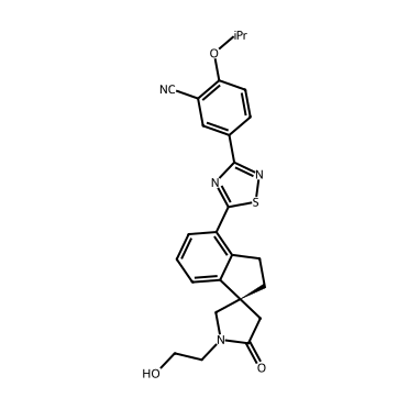 CC(C)Oc1ccc(-c2nsc(-c3cccc4c3CC[C@]43CC(=O)N(CCO)C3)n2)cc1C#N